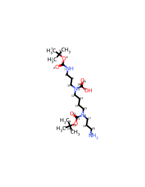 CC(C)(C)OC(=O)NCCCN(CCCCN(CCCN)C(=O)OC(C)(C)C)C(=O)O